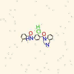 Cc1cccc(C(=O)Nc2ccc(C(=O)N3CCN(C)Cc4ccccc43)cc2)c1C.Cl